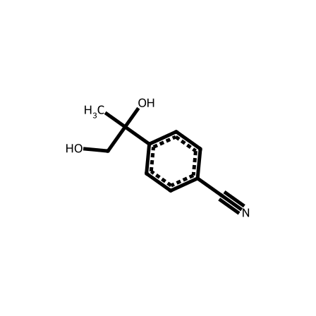 CC(O)(CO)c1ccc(C#N)cc1